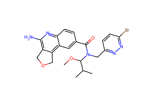 COC(C(C)C)N(Cc1ccc(Br)nn1)C(=O)c1ccc2nc(N)c3c(c2c1)COC3